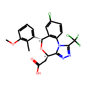 COc1cccc([C@H]2O[C@H](CC(=O)O)c3nnc(C(F)(F)Cl)n3-c3ccc(Cl)cc32)c1C